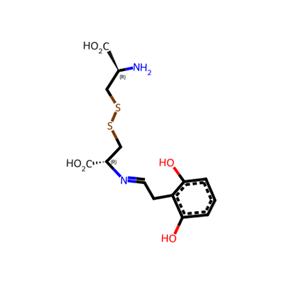 N[C@@H](CSSC[C@H](N=CCc1c(O)cccc1O)C(=O)O)C(=O)O